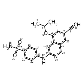 C#Cc1cc(OC(C)C)c2nc(Nc3ccc(S(N)(=O)=O)cc3)ncc2c1